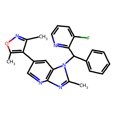 Cc1noc(C)c1-c1cnc2nc(C)n(C(c3ccccc3)c3ncccc3F)c2c1